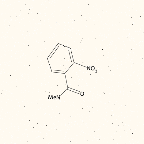 [CH2]NC(=O)c1ccccc1[N+](=O)[O-]